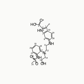 Cc1c(C(=O)O)[nH]c2cc(NCCN(CCO)c3ccccc3NS(C)(=O)=O)ccc12